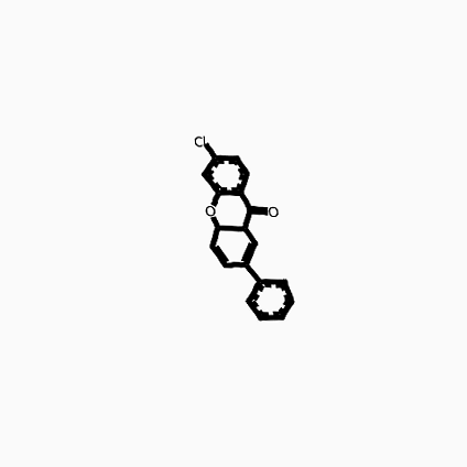 O=C1c2ccc(Cl)cc2OC2C=CC(c3ccccc3)=CC12